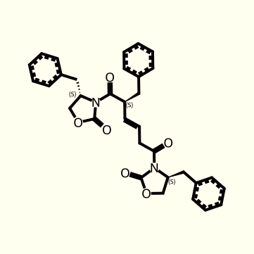 O=C(CC=C[C@H](Cc1ccccc1)C(=O)N1C(=O)OC[C@@H]1Cc1ccccc1)N1C(=O)OC[C@@H]1Cc1ccccc1